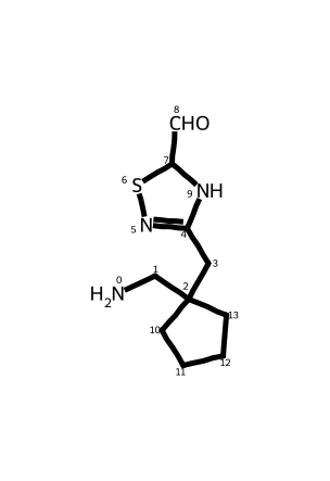 NCC1(CC2=NSC(C=O)N2)CCCC1